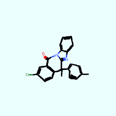 Cc1ccc(C2(C)c3ccc(Cl)cc3C(=O)n3c2nc2ccccc23)cc1